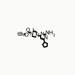 C[C@H]1CN(c2cc(C3CCCC3)nc(N)n2)CCN1C(=O)OC(C)(C)C